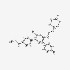 CN1CCN(CCOc2cc(=O)n(-c3ccc(OCF)cc3)cc2-c2ccc(F)cc2)CC1